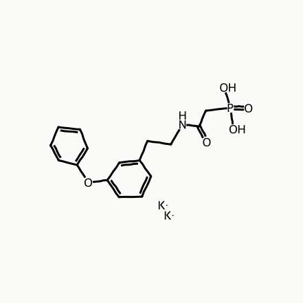 O=C(CP(=O)(O)O)NCCc1cccc(Oc2ccccc2)c1.[K].[K]